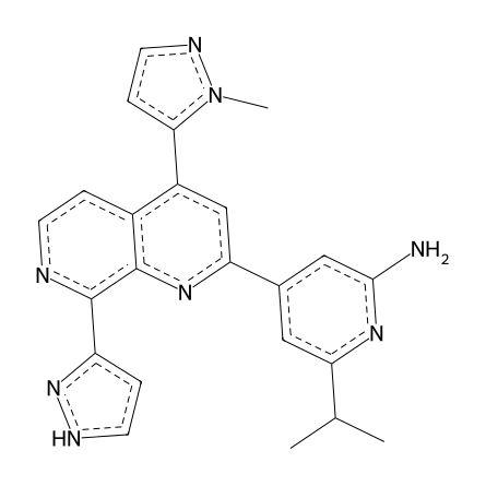 CC(C)c1cc(-c2cc(-c3ccnn3C)c3ccnc(-c4cc[nH]n4)c3n2)cc(N)n1